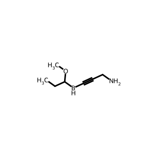 CCC(BC#CCN)OC